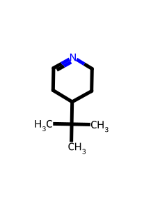 CC(C)(C)C1CC=NCC1